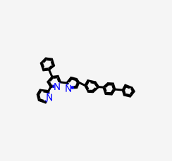 c1ccc(-c2ccc(-c3ccc(-c4ccc(-c5cc(-c6ccccc6)cc(-c6ccccn6)n5)nc4)cc3)cc2)cc1